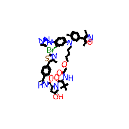 Cc1ccc(-c2c(C)noc2C)cc1N(CCCCCOCC(=O)N[C@H](C(=O)N1C[C@H](O)C[C@H]1C(=O)N[C@@H](C)c1ccc(-c2scnc2C)cc1)C(C)(C)C)c1ccc(-n2ccnn2)c(Br)c1